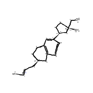 CCC/C=C/C[C@H]1CCc2cc([C@H]3CC[C@](N)(CO)C3)ccc2C1